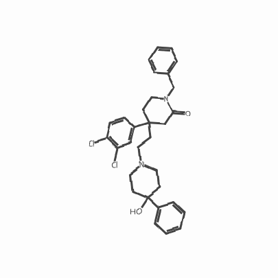 O=C1CC(CCN2CCC(O)(c3ccccc3)CC2)(c2ccc(Cl)c(Cl)c2)CCN1Cc1ccccc1